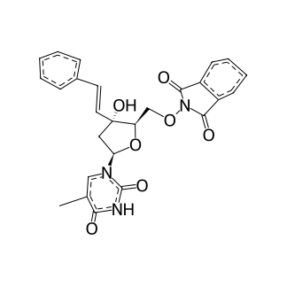 Cc1cn([C@H]2C[C@@](O)(C=Cc3ccccc3)[C@@H](CON3C(=O)c4ccccc4C3=O)O2)c(=O)[nH]c1=O